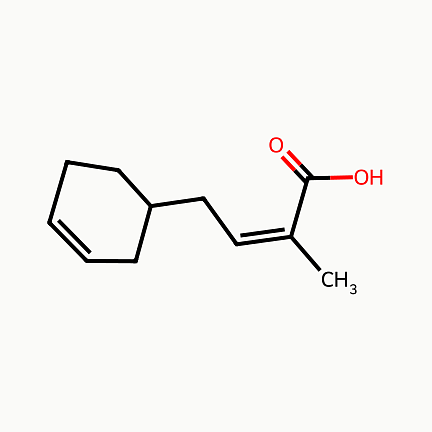 CC(=CCC1CC=CCC1)C(=O)O